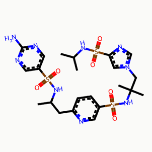 CC(C)NS(=O)(=O)c1cn(CC(C)(C)NS(=O)(=O)c2ccc(CC(C)NS(=O)(=O)c3cnc(N)nc3)nc2)cn1